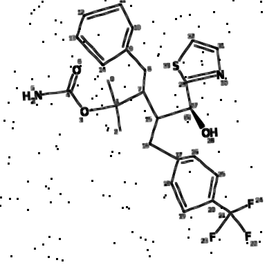 CC(C)(OC(N)=O)C(Cc1ccccc1)C(Cc1ccc(C(F)(F)F)cc1)[C@H](O)c1nccs1